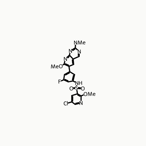 CNc1ncc2cc(-c3cc(F)cc(NS(=O)(=O)c4cc(Cl)cnc4OC)c3)c(OC)nc2n1